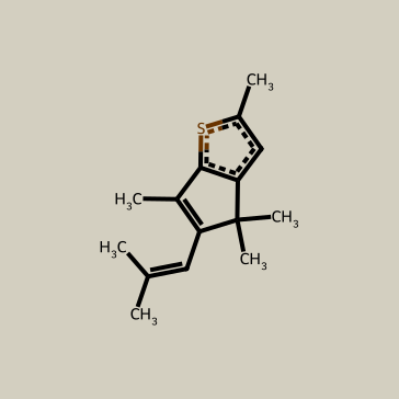 CC(C)=CC1=C(C)c2sc(C)cc2C1(C)C